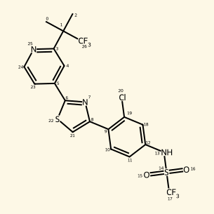 CC(C)(c1cc(-c2nc(-c3ccc(NS(=O)(=O)C(F)(F)F)cc3Cl)cs2)ccn1)C(F)(F)F